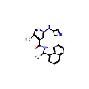 Cc1cnc(NC2CNC2)cc1C(=O)NC(C)c1cccc2ccccc12